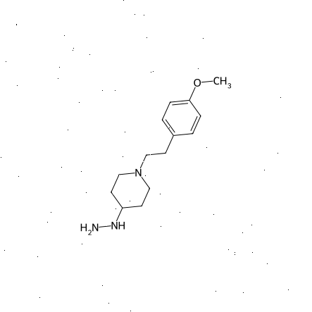 COc1ccc(CCN2CCC(NN)CC2)cc1